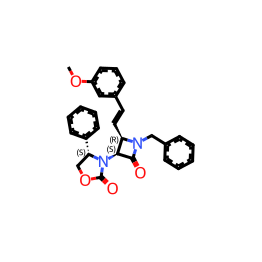 COc1cccc(C=C[C@@H]2[C@H](N3C(=O)OC[C@@H]3c3ccccc3)C(=O)N2Cc2ccccc2)c1